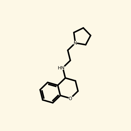 c1ccc2c(c1)OCCC2NCCN1CCCC1